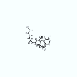 C=C(C)c1ccc(C)cc1-c1c(O)cc(CC(C)(C)CCCCC)cc1O